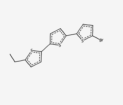 CCc1ccc(-c2ccc(-c3ccc(Br)s3)s2)s1